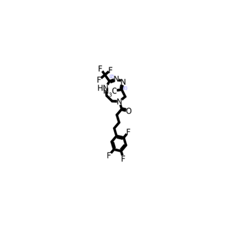 C/C1=N\N=C(\C(F)(F)F)NCCN(C(=O)CCCc2cc(F)c(F)cc2F)C1